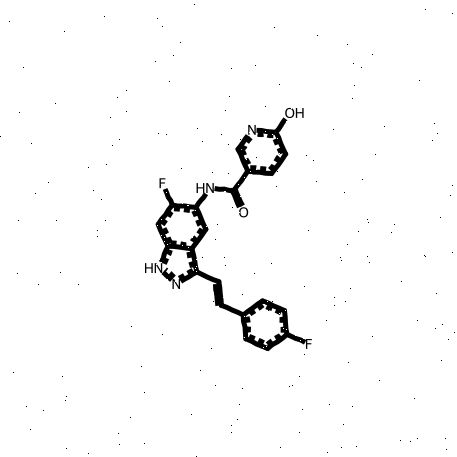 O=C(Nc1cc2c(/C=C/c3ccc(F)cc3)n[nH]c2cc1F)c1ccc(O)nc1